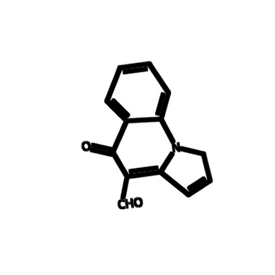 O=Cc1c2n(c3ccccc3c1=O)CC=C2